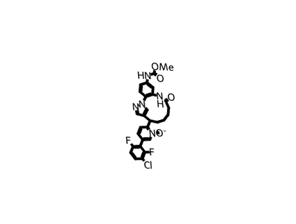 COC(=O)Nc1ccc2c(c1)NC(=O)CCCCC(c1ccc(-c3c(F)ccc(Cl)c3F)c[n+]1[O-])c1cnn-2c1